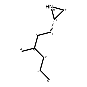 CCCC(C)CC[C@H]1CN1